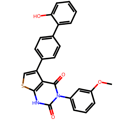 COc1cccc(-n2c(=O)[nH]c3scc(-c4ccc(-c5ccccc5O)cc4)c3c2=O)c1